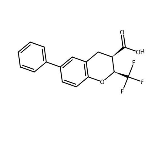 O=C(O)[C@@H]1Cc2cc(-c3ccccc3)ccc2O[C@@H]1C(F)(F)F